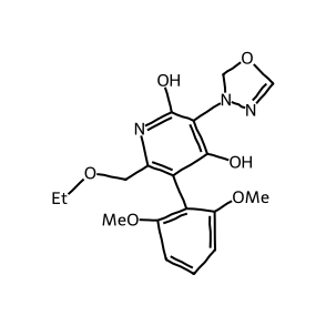 CCOCc1nc(O)c(N2COC=N2)c(O)c1-c1c(OC)cccc1OC